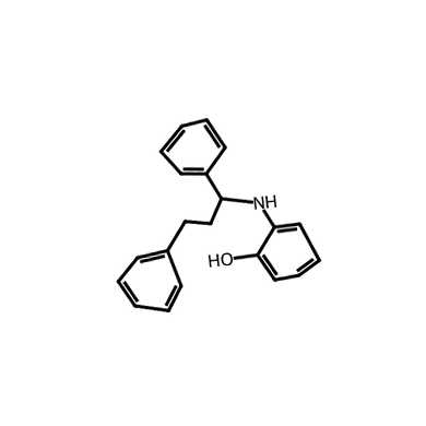 Oc1ccccc1NC(CCc1ccccc1)c1ccccc1